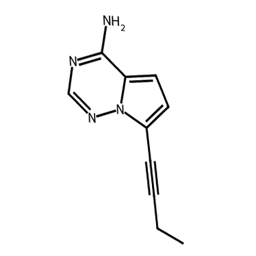 CCC#Cc1ccc2c(N)ncnn12